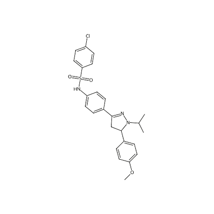 COc1ccc(C2CC(c3ccc(NS(=O)(=O)c4ccc(Cl)cc4)cc3)=NN2C(C)C)cc1